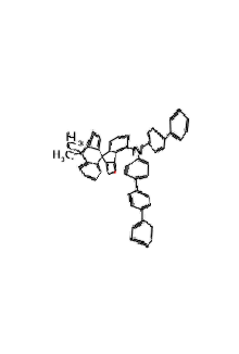 CC1(C)c2ccccc2C2(c3ccccc3-c3c(N(c4ccc(-c5ccccc5)cc4)c4ccc(-c5ccc(-c6ccccc6)cc5)cc4)cccc32)c2ccccc21